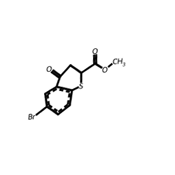 COC(=O)C1CC(=O)c2cc(Br)ccc2S1